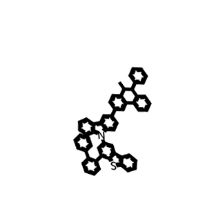 CC1c2ccc(-c3ccc4c(c3)c3ccccc3n4-c3cc(-c4ccccc4-c4ccccc4)c4sc5ccccc5c4c3)cc2-c2ccccc2C1c1ccccc1